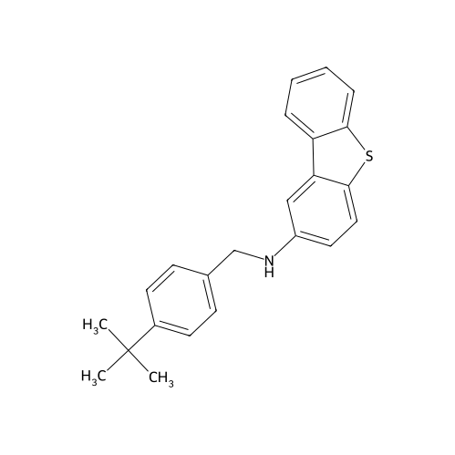 CC(C)(C)c1ccc(CNc2ccc3sc4ccccc4c3c2)cc1